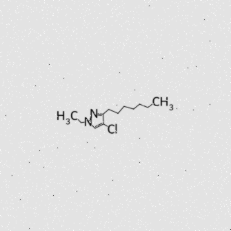 CCCCCCCc1nn(CC)cc1Cl